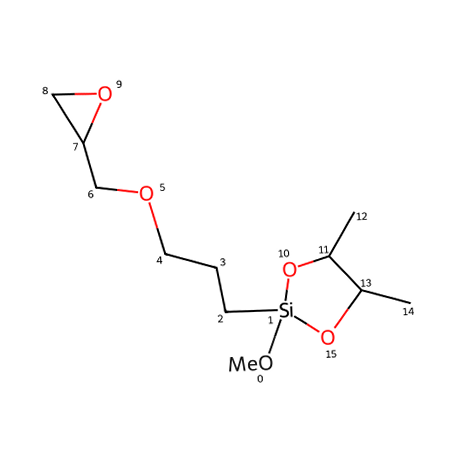 CO[Si]1(CCCOCC2CO2)OC(C)C(C)O1